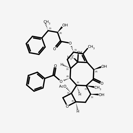 CC(=O)O[C@@]12CO[C@@H]1C[C@H](O)[C@@]1(C)C(=O)[C@H](O)C3=C(C)[C@@H](OC(=O)[C@H](O)[C@@H](C)c4ccccc4)C[C@H]([C@@H](OC(=O)c4ccccc4)[C@H]21)C3(C)C